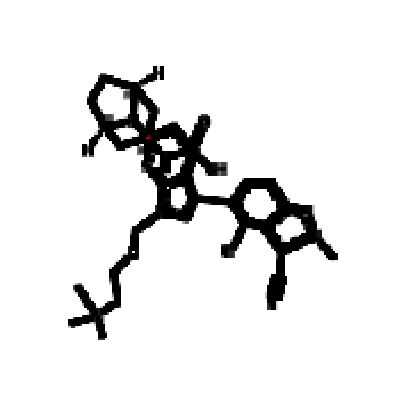 Cn1nc2ccc(-c3cn(COCC[Si](C)(C)C)c4nc(N5[C@@H]6CC[C@H]5C[C@@H](NC(=O)O)C6)cnc34)c(Cl)c2c1C#N